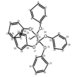 C[Si](Oc1ccccc1)(Oc1ccccc1)[Si](Oc1ccccc1)(Oc1ccccc1)Oc1ccccc1